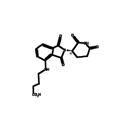 O=C(O)CCCNc1cccc2c1C(=O)N([C@H]1CCC(=O)NC1=O)C2=O